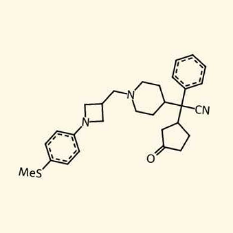 CSc1ccc(N2CC(CN3CCC(C(C#N)(c4ccccc4)C4CCC(=O)C4)CC3)C2)cc1